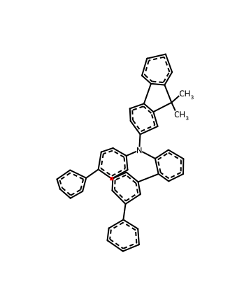 CC1(C)c2ccccc2-c2ccc(N(c3ccc(-c4ccccc4)cc3)c3ccccc3-c3cccc(-c4ccccc4)c3)cc21